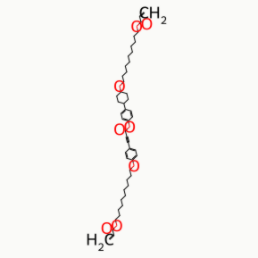 C=CC(=O)OCCCCCCCCCCCOc1ccc(C#CC(=O)Oc2ccc(C3CCC(OCCCCCCCCCCCOC(=O)C=C)CC3)cc2)cc1